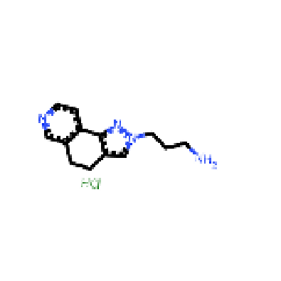 Cl.NCCCn1cc2c(n1)-c1ccncc1CC2